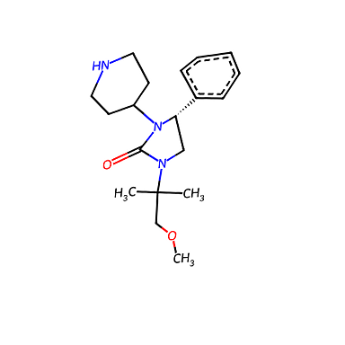 COCC(C)(C)N1C[C@@H](c2ccccc2)N(C2CCNCC2)C1=O